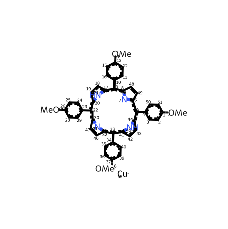 COc1ccc(-c2c3nc(c(-c4ccc(OC)cc4)c4ccc([nH]4)c(-c4ccc(OC)cc4)c4nc(c(-c5ccc(OC)cc5)c5ccc2[nH]5)C=C4)C=C3)cc1.[Cu]